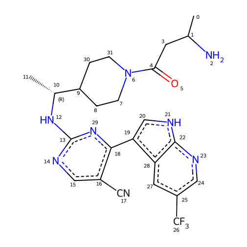 CC(N)CC(=O)N1CCC([C@@H](C)Nc2ncc(C#N)c(-c3c[nH]c4ncc(C(F)(F)F)cc34)n2)CC1